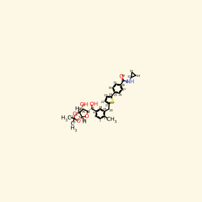 Cc1ccc(C(O)[C@@H]2O[C@H]3OC(C)(C)O[C@H]3[C@@H]2O)cc1Cc1ccc(-c2ccc(C(=O)NC3CC3)cc2)s1